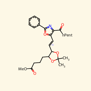 CCCCCC(=O)c1nc(-c2ccccc2)oc1/C=C/C1OC(C)(C)OC1CCCC(=O)OC